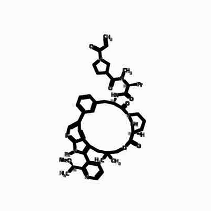 C=CC(=O)N1CCC(C(=O)N(C)[C@H](C(=O)N[C@H]2Cc3cccc(c3)-c3cnc4c(c3)c(c(-c3cccnc3[C@H](C)OC)n4CC)CC(C)(C)COC(=O)[C@@H]3CCCN(N3)C2=O)C(C)C)C1